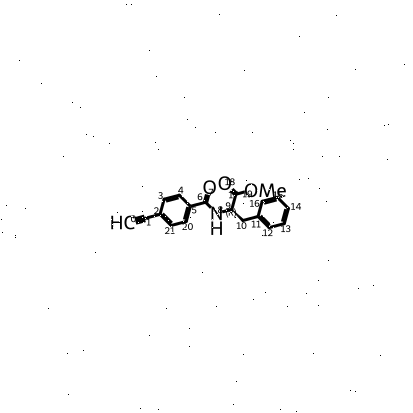 C#Cc1ccc(C(=O)N[C@H](Cc2ccccc2)C(=O)OC)cc1